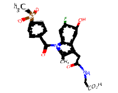 Cc1c(CC(=O)NCC(=O)O)c2cc(O)c(F)cc2n1C(=O)c1ccc(S(C)(=O)=O)cc1